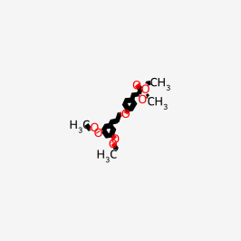 CCOOc1cc(C=CCOc2ccc(CC(OCC)C(=O)OCC)cc2)cc(OOCC)c1